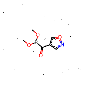 COB(OC)C(=O)c1cnoc1